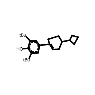 CC(C)(C)c1cc(C2=CCC(C3CCC3)CC2)cc(C(C)(C)C)c1O